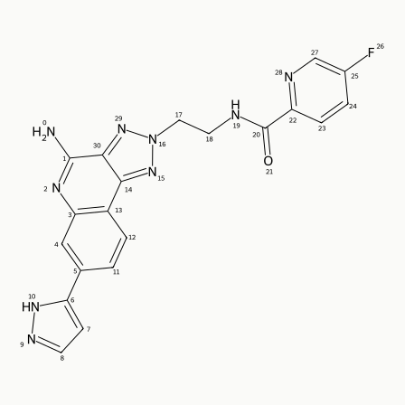 Nc1nc2cc(-c3ccn[nH]3)ccc2c2nn(CCNC(=O)c3ccc(F)cn3)nc12